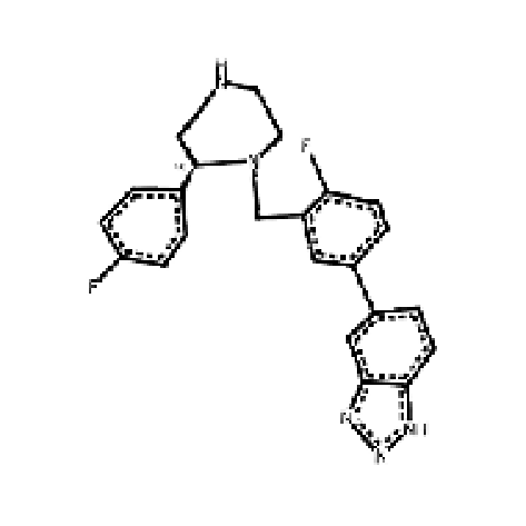 Fc1ccc([C@H]2CNCCN2Cc2cc(-c3ccc4[nH]nnc4c3)ccc2F)cc1